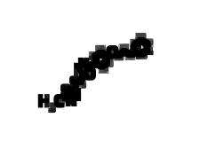 Cc1nnc(SCc2nnc(-c3ccc(OCCCN4CCCCC4)cc3)o2)s1